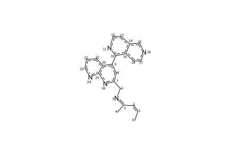 C/C=C\C(C)=N/Cc1cc(-c2nccc3cnccc23)c2cccnc2n1